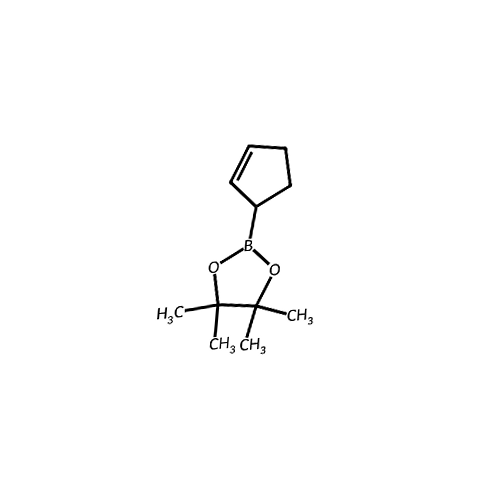 CC1(C)OB(C2C=CCC2)OC1(C)C